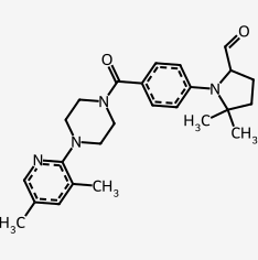 Cc1cnc(N2CCN(C(=O)c3ccc(N4C(C=O)CCC4(C)C)cc3)CC2)c(C)c1